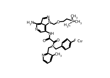 Cc1cccnc1CN(Cc1ccc(F)cc1)C(=O)C(=O)Nc1cnc(N)c2cnn(COCC[Si](C)(C)C)c12.[Cu]